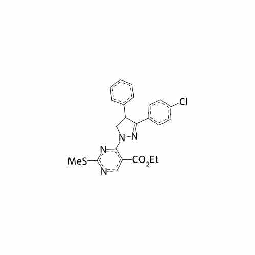 CCOC(=O)c1cnc(SC)nc1N1CC(c2ccccc2)C(c2ccc(Cl)cc2)=N1